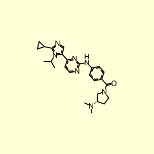 CC(C)n1c(-c2ccnc(Nc3ccc(C(=O)N4CC[C@H](N(C)C)C4)cc3)n2)cnc1C1CC1